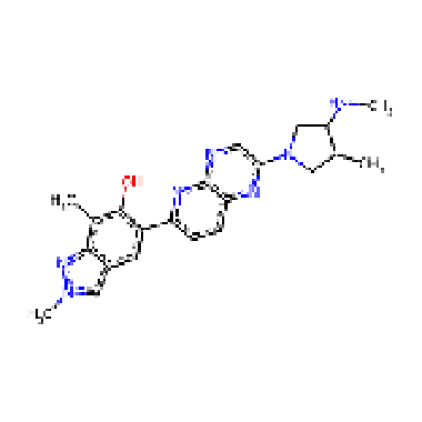 CNC1CN(c2cnc3nc(-c4cc5cn(C)nc5c(C)c4O)ccc3n2)CC1C